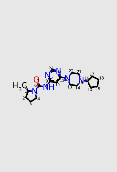 CC1CCCN1C(=O)Nc1cc(N2CCN(C3CCCC3)CC2)ncn1